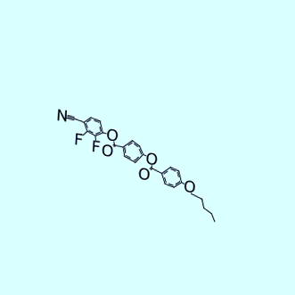 CCCCCOc1ccc(C(=O)Oc2ccc(C(=O)Oc3ccc(C#N)c(F)c3F)cc2)cc1